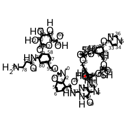 CN(Cc1ccccc1C(=O)Nc1nc2c(ncn2[C@@H]2O[C@@H]3CO[P@@](=O)(S)O[C@H]4C[C@H](Oc5ccncn5)C[C@@H]4CO[P@@](=O)(S)O[C@@H]2[C@@H]3O)c(=O)[nH]1)C(=O)OCc1ccc(O[C@@H]2O[C@H](C(=O)O)[C@@H](O)[C@H](O)[C@H]2O)c(NC(=O)CCN)c1